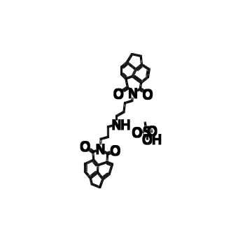 CS(=O)(=O)O.O=C1c2ccc3c4c(ccc(c24)C(=O)N1CCCCNCCCN1C(=O)c2ccc4c5c(ccc(c25)C1=O)CC4)CC3